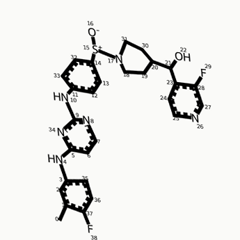 Cc1cc(Nc2ccnc(Nc3ccc([S+]([O-])N4CCC(C(O)c5ccncc5F)CC4)cc3)n2)ccc1F